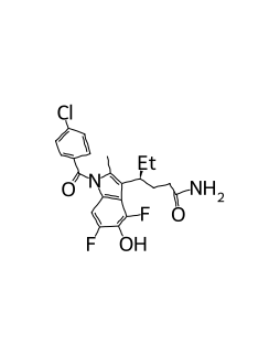 CC[C@@H](CCC(N)=O)c1c(C)n(C(=O)c2ccc(Cl)cc2)c2cc(F)c(O)c(F)c12